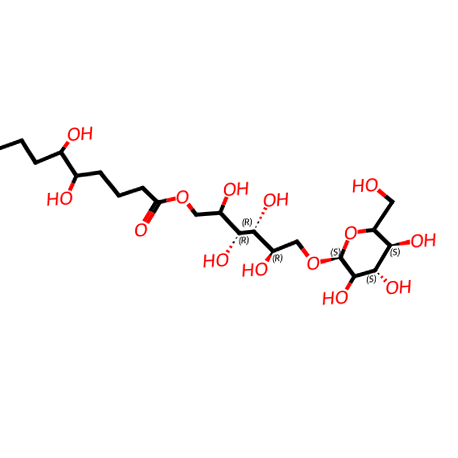 CCCC(O)C(O)CCCC(=O)OCC(O)[C@@H](O)[C@H](O)[C@H](O)CO[C@H]1OC(CO)[C@@H](O)[C@H](O)C1O